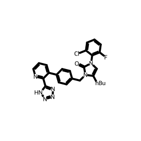 CCCCc1cn(-c2c(F)cccc2Cl)c(=O)n1Cc1ccc(-c2cccnc2-c2nnn[nH]2)cc1